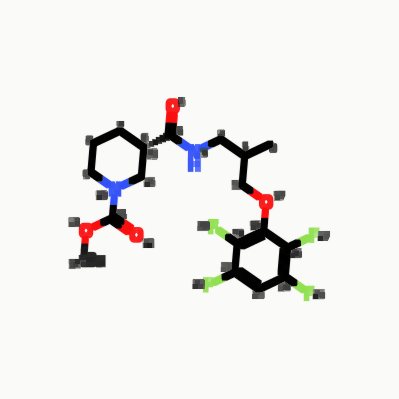 CC(CNC(=O)[C@H]1CCCN(C(=O)OC(C)(C)C)C1)COc1c(F)c(F)cc(F)c1F